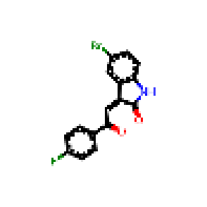 O=C1Nc2ccc(Br)cc2C1=CC(=O)c1ccc(F)cc1